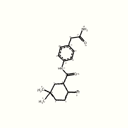 CC(C)C1CCC(C)(C)CC1C(=O)Nc1ccc(CC(N)=O)cc1